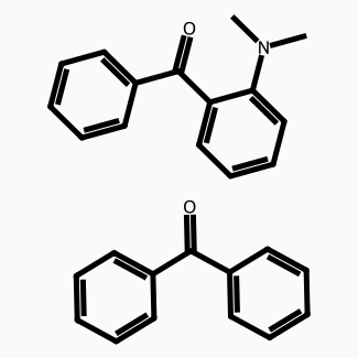 CN(C)c1ccccc1C(=O)c1ccccc1.O=C(c1ccccc1)c1ccccc1